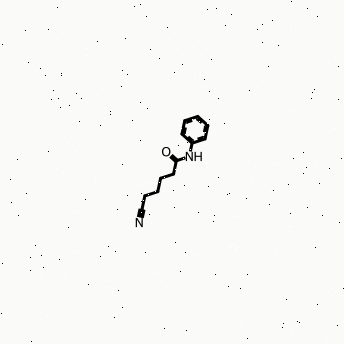 N#CCCCCC(=O)Nc1ccccc1